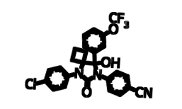 N#Cc1ccc(N2C(=O)N(c3ccc(Cl)cc3)C3(CCC3)C2(O)c2cccc(OC(F)(F)F)c2)cc1